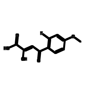 COc1ccc(C(=O)C=C(O)C(=O)O)c(F)c1